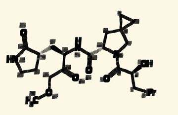 CC(C)C[C@H](O)C(=O)N1CC2(CC2)C[C@H]1C(=O)N[C@H](C[C@@H]1CCNC1=O)C(=O)COC(F)(F)F